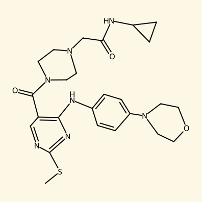 CSc1ncc(C(=O)N2CCN(CC(=O)NC3CC3)CC2)c(Nc2ccc(N3CCOCC3)cc2)n1